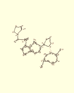 O=C(Nc1cnn2ccc(N3CCC[C@@H]3c3cc(F)ccc3F)nc12)N1CCCC1